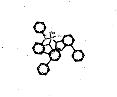 CCC[CH2][Zr]([CH2]CCC)([CH]1C(CC)=Cc2c(-c3ccccc3)cccc21)([CH]1C(CC)=Cc2c(-c3ccccc3)cccc21)[SiH](c1ccccc1)c1ccccc1